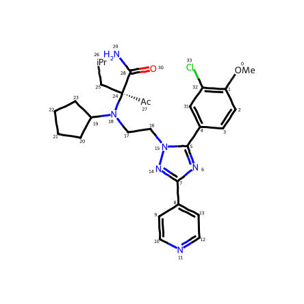 COc1ccc(-c2nc(-c3ccncc3)nn2CCN(C2CCCC2)[C@](CC(C)C)(C(C)=O)C(N)=O)cc1Cl